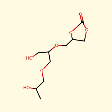 CC(O)COCC(CO)OCC1COC(=O)O1